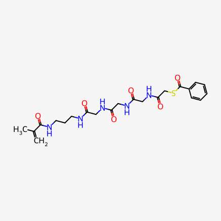 C=C(C)C(=O)NCCCNC(=O)CNC(=O)CNC(=O)CNC(=O)CSC(=O)c1ccccc1